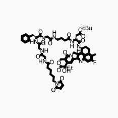 CC[C@@]1(O)C(=O)OCc2c1cc1n(c2=O)Cc2c-1nc1cc(F)c(C)c3c1c2[C@@H](NC(=O)[C@H](CC(=O)OC(C)(C)C)NC(=O)CCCNC(=O)CNC(=O)[C@H](Cc1ccccc1)NC(=O)CNC(=O)CNC(=O)CCCCCN1C(=O)C=CC1=O)CC3